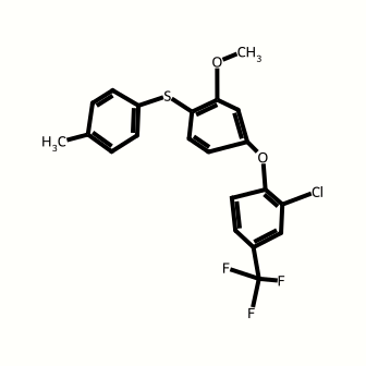 COc1cc(Oc2ccc(C(F)(F)F)cc2Cl)ccc1Sc1ccc(C)cc1